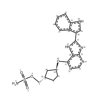 NS(=O)(=O)OC[C@H]1CC[C@H](Oc2ncnc3nc(-c4c[nH]c5ccccc45)[nH]c23)C1